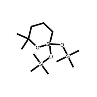 CC1(C)CCC[Si](O[Si](C)(C)C)(O[Si](C)(C)C)O1